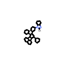 CCc1nc2ccccc2n1-c1cccc(-c2cc(-c3ccccc3)c3c(c2-c2ccccc2)-c2cccc4cccc-3c24)c1